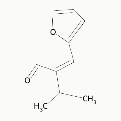 CC(C)C(C=O)=Cc1ccco1